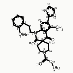 COc1ccccc1CCN1C(=O)C2(CCN(C(=O)OC(C)(C)C)CC2)C(=O)c2c1sc(-c1ncco1)c2C